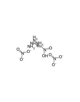 N.N.N.N.O=[N+](O)[Ru].O=[N+]([O-])[O-].O=[N+]([O-])[O-]